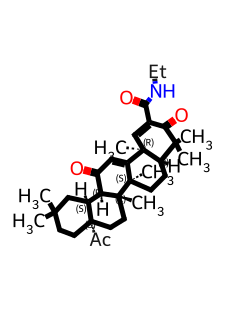 CCNC(=O)C1=C[C@]2(C)C3=CC(=O)[C@@H]4[C@@H]5CC(C)(C)CC[C@]5(C(C)=O)CC[C@@]4(C)[C@]3(C)CC[C@H]2C(C)(C)C1=O